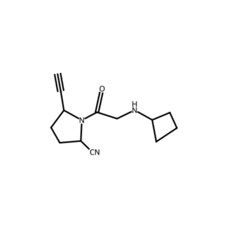 C#CC1CCC(C#N)N1C(=O)CNC1CCC1